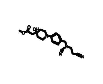 COC(=O)CC1(O)CCN(c2ccc(CN(C#N)CCC#N)cc2)CC1